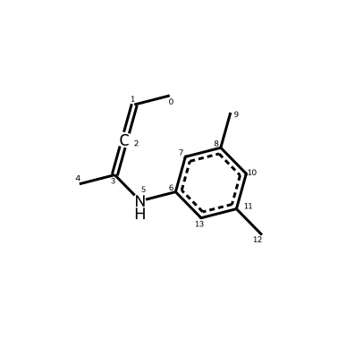 CC=C=C(C)Nc1cc(C)cc(C)c1